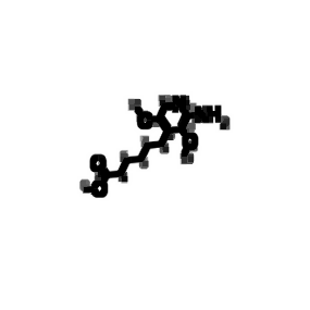 COC(=O)CCCCCc1c(OC)cnc(N)c1OC